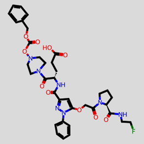 O=C(O)CC[C@H](NC(=O)c1cc(OCC(=O)N2CCC[C@H]2C(=O)NCCF)n(-c2ccccc2)n1)C(=O)N1CCN(OC(=O)OCc2ccccc2)CC1